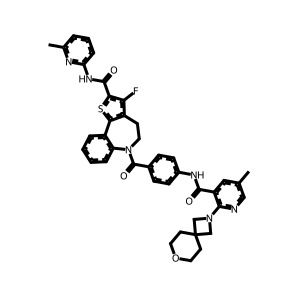 Cc1cnc(N2CC3(CCOCC3)C2)c(C(=O)Nc2ccc(C(=O)N3CCc4c(sc(C(=O)Nc5cccc(C)n5)c4F)-c4ccccc43)cc2)c1